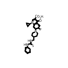 O=C(O)c1cn(C2CC2)c2cc(N3CCC(CNC(=S)Nc4ccccc4)CC3)c(F)cc2c1=O